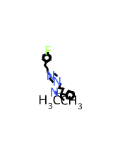 CC(C)[C@@](C#N)(CCCN1CCN(CCCc2ccc(F)cc2)CC1)c1ccccc1